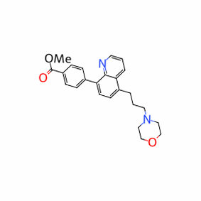 COC(=O)c1ccc(-c2ccc(CCCN3CCOCC3)c3cccnc23)cc1